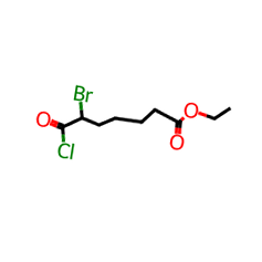 CCOC(=O)CCCCC(Br)C(=O)Cl